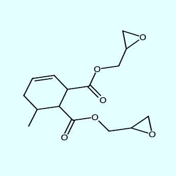 CC1CC=CC(C(=O)OCC2CO2)C1C(=O)OCC1CO1